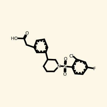 O=C(O)Cc1cccc(C2CCCN(S(=O)(=O)c3ccc(F)cc3Cl)C2)c1